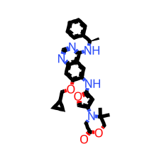 C[C@@H](Nc1ncnc2cc(OCC3CC3)c(Nc3cc(N4CC(=O)OCC4(C)C)co3)cc12)c1ccccc1